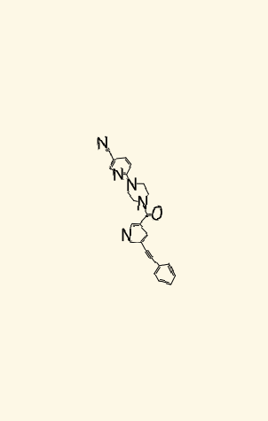 N#Cc1ccc(N2CCN(C(=O)c3cncc(C#Cc4ccccc4)c3)CC2)nc1